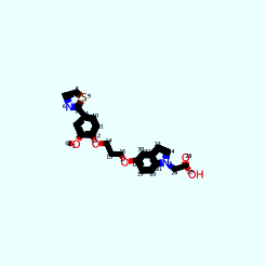 COc1cc(-c2nccs2)ccc1OCCCOc1ccc2c(ccn2CC(=O)O)c1